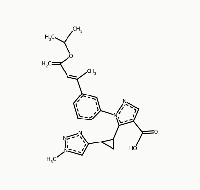 C=C(/C=C(\C)c1cccc(-n2ncc(C(=O)O)c2C2CC2c2cn(C)nn2)c1)OC(C)C